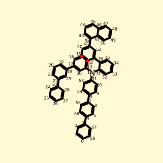 c1ccc(-c2ccc(-c3ccc(N(c4cccc(-c5cccc(-c6ccccc6)c5)c4)c4ccccc4-c4cccc(-c5cccc6ccccc56)c4)cc3)cc2)cc1